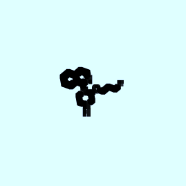 FCCCOC1CNCCN1c1nccc2ccccc12